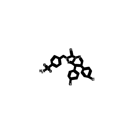 NS(=O)(=O)c1ccc(Cn2nc3c(-c4ccc(Cl)cc4)c(-c4ccc(Cl)cc4)cnn3c2=O)cc1